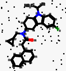 CCC(C(=O)O)n1c2c(c3cc(F)ccc31)C[C@@H](N(CC1CC1)C(=O)Cc1cccc3ccccc13)CC2